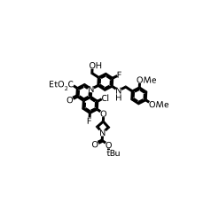 CCOC(=O)c1cn(-c2cc(NCc3ccc(OC)cc3OC)c(F)cc2CO)c2c(Cl)c(OC3CN(C(=O)OC(C)(C)C)C3)c(F)cc2c1=O